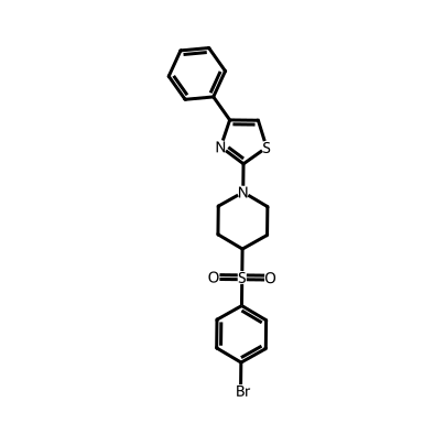 O=S(=O)(c1ccc(Br)cc1)C1CCN(c2nc(-c3ccccc3)cs2)CC1